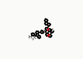 CC1(c2ccccc2)c2ccccc2-c2c(-c3ccc(N(c4ccc(-c5cccc6c5ccc5ccccc56)cc4)c4ccccc4-c4cccc5cccc(-c6ccccc6)c45)cc3)cccc21